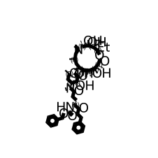 CC[C@H]1OC(=O)[C@H](C)[C@@H](O)[C@H](C)[C@@H](O[C@@H]2O[C@H](C)C[C@H](N(C)C(=O)CC[C@@H](NC(=O)OCc3ccccc3)C(=O)CCc3ccccc3)[C@H]2O)[C@](C)(O)C[C@@H](C)CN(C)[C@H](C)[C@@H](O)[C@]1(C)O